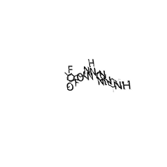 COc1cc(C)c(F)c(COc2cnc(Nc3cnc(N4C[C@@H](C)N[C@@H](C)C4)nc3)nc2)c1F